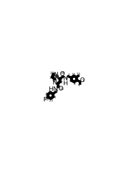 CC(=O)c1ccc(CNC(=O)c2cc(C(=O)NCc3ccc(F)cc3)nc3ccnn23)cc1C